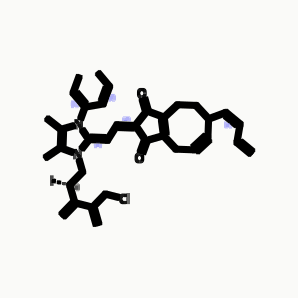 C=C/C=C\C1C#CCC2=C(CC1)C(=O)/C(=C/C=C1/N(C[C@@H](I)C(=C)C(=C)CCl)C(C)=C(C)N1C(/C=C\C)=C/C)C2=O